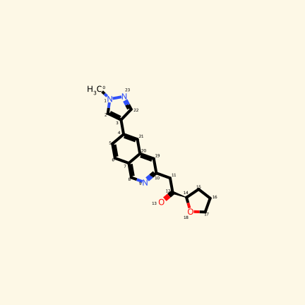 Cn1cc(-c2ccc3cnc(CC(=O)[C@H]4CCCO4)cc3c2)cn1